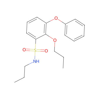 CCCNS(=O)(=O)c1cccc(Oc2ccccc2)c1OCCC